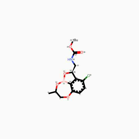 CC1COc2ccc(Cl)c3c2B(O1)O[C@H]3CNC(=O)OC(C)(C)C